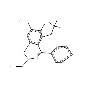 COc1cc2c(c3c1OC(C)(C)C3)C(c1ccccc1)=NC(CO)C2